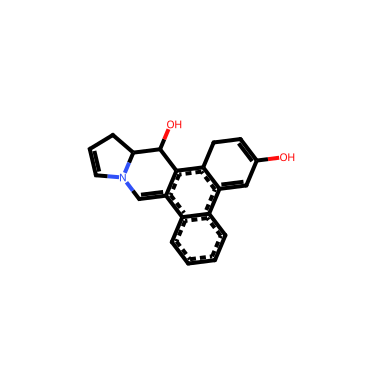 OC1=CCc2c3c(c4ccccc4c2=C1)=CN1C=CCC1C3O